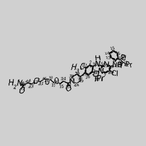 Cc1cc(Nc2ncc(Cl)c(Nc3ccccc3S(=O)(=O)C(C)C)n2)c(OC(C)C)cc1C1CCN(C(=O)CCOCCOCCOCCC(N)=O)CC1